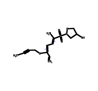 C=C/C(=C\C=C(/N)S(=O)(=O)N1CC(S)CO1)OCC#CC